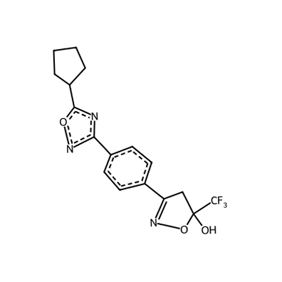 OC1(C(F)(F)F)CC(c2ccc(-c3noc(C4CCCC4)n3)cc2)=NO1